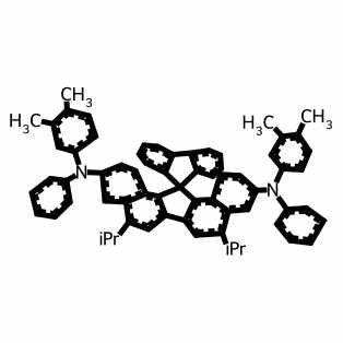 Cc1ccc(N(c2ccccc2)c2ccc3c4c(cc(C(C)C)c3c2)-c2cc(C(C)C)c3cc(N(c5ccccc5)c5ccc(C)c(C)c5)ccc3c2C42c3ccccc3-c3ccccc32)cc1C